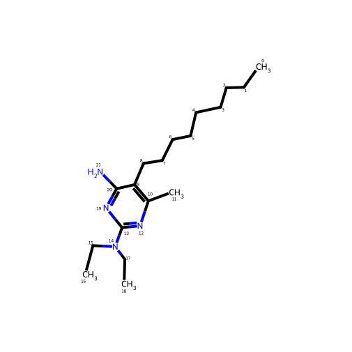 CCCCCCCCCc1c(C)nc(N(CC)CC)nc1N